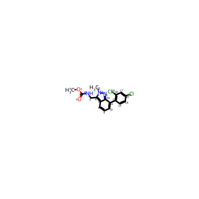 COC(=O)NCc1c2cccc(-c3ccc(Cl)cc3Cl)c2nn1C